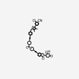 Cc1c(-c2ccc(C#N)c(Cl)c2)nn(Cc2ccc(C#CC3CCC(C(=O)N4CCC(C#Cc5ccc6c(c5)CN(C5CCC(=O)NC5=O)C6=O)CC4)CC3)cc2)c1C